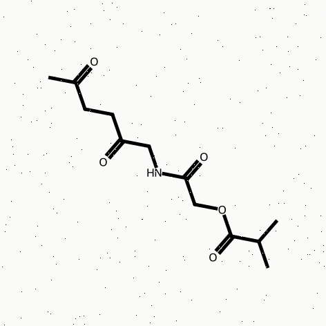 CC(=O)CCC(=O)CNC(=O)COC(=O)C(C)C